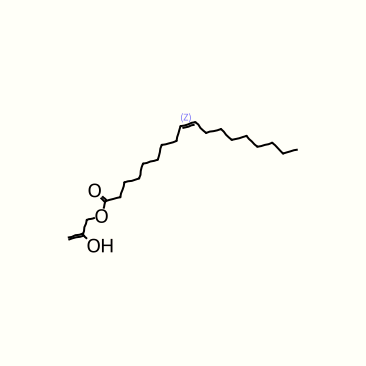 C=C(O)COC(=O)CCCCCCC/C=C\CCCCCCCC